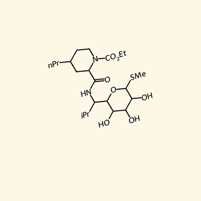 CCCC1CCN(C(=O)OCC)C(C(=O)NC(C(C)C)C2OC(SC)C(O)C(O)C2O)C1